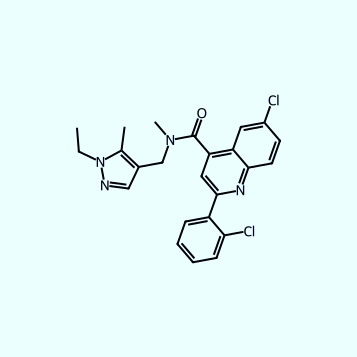 CCn1ncc(CN(C)C(=O)c2cc(-c3ccccc3Cl)nc3ccc(Cl)cc23)c1C